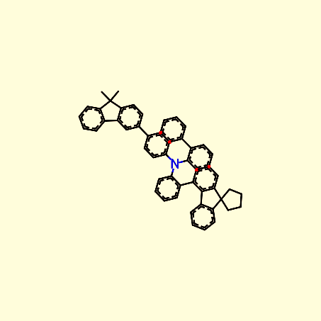 CC1(C)c2ccccc2-c2cc(-c3ccc(N(c4ccccc4-c4ccccc4)c4ccccc4-c4cccc5c4-c4ccccc4C54CCCC4)cc3)ccc21